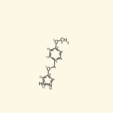 COc1ccc(COc2cn[nH]c2)cc1